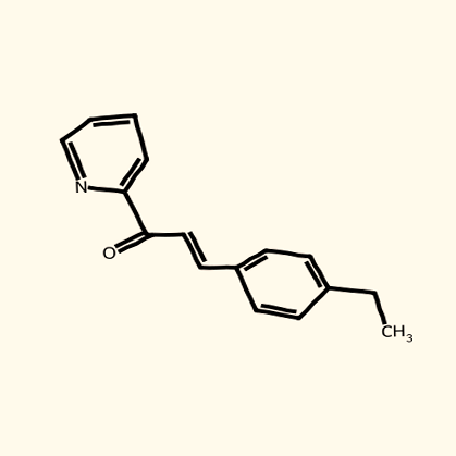 CCc1ccc(/C=C/C(=O)c2ccccn2)cc1